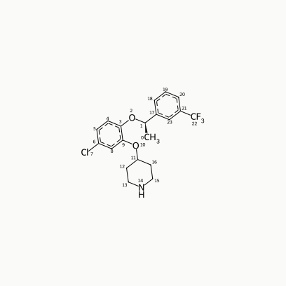 C[C@@H](Oc1ccc(Cl)cc1OC1CCNCC1)c1cccc(C(F)(F)F)c1